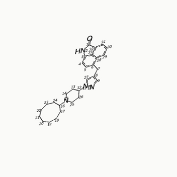 O=C1Nc2ccc(Cc3cnn(C4CCN(C5CCCCCCCC5)CC4)c3)c3cccc1c23